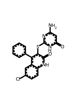 Nc1cc(=O)[nH]c(Sc2c(-c3ccccc3)c3cc(Cl)ccc3[nH]c2=O)n1